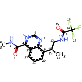 CNC(=O)c1ncnc2c([C@H](C)CNC(=O)C(F)(F)F)cccc12